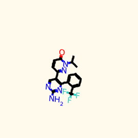 CC(C)n1nc(-c2cnc(N)nc2-c2ccccc2C(F)(F)F)ccc1=O